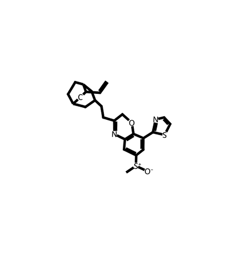 C=CC1CC2CCC1CC(CCC1=Nc3cc([S+](C)[O-])cc(-c4nccs4)c3OC1)C2